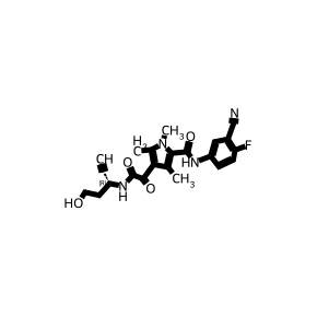 C#C[C@@H](CCO)NC(=O)C(=O)c1c(C)c(C(=O)Nc2ccc(F)c(C#N)c2)n(C)c1C